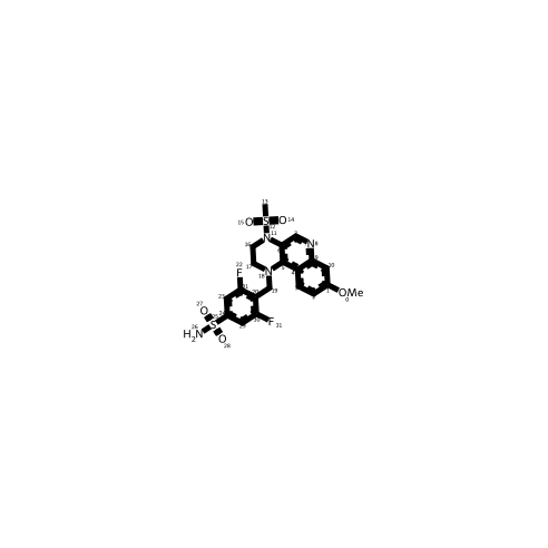 COc1ccc2c3c(cnc2c1)N(S(C)(=O)=O)CCN3Cc1c(F)cc(S(N)(=O)=O)cc1F